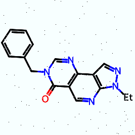 CCn1ncc2c3ncn(Cc4ccccc4)c(=O)c3cnc21